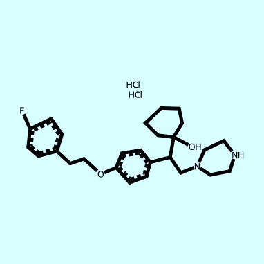 Cl.Cl.OC1(C(CN2CCNCC2)c2ccc(OCCc3ccc(F)cc3)cc2)CCCCC1